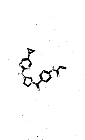 C=CC(=O)Nc1ccc(C(=O)N2CC[C@@H](Nc3ncc(C4CC4)cn3)C2)cc1